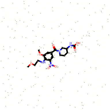 COCCNc1c(OC)cc(C(=O)N2CCCC(NC(=O)O)C2)cc1[N+](=O)[O-]